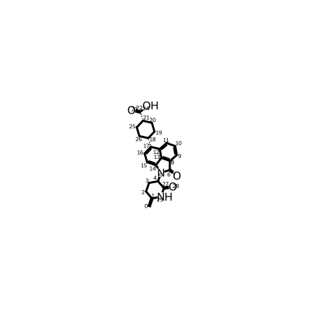 C=C1CCC(N2C(=O)c3cccc4c3c2ccc4[C@H]2CC[C@@H](C(=O)O)CC2)C(=O)N1